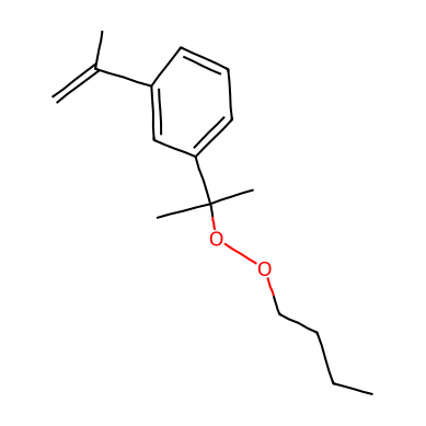 C=C(C)c1cccc(C(C)(C)OOCCCC)c1